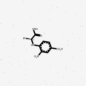 COC(=O)[C@@H](Nc1ccc(C(=O)O)cc1[N+](=O)[O-])C(C)C